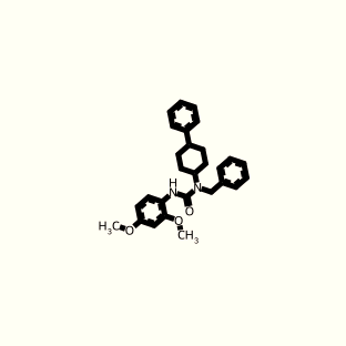 COc1ccc(NC(=O)N(Cc2ccccc2)C2CCC(c3ccccc3)CC2)c(OC)c1